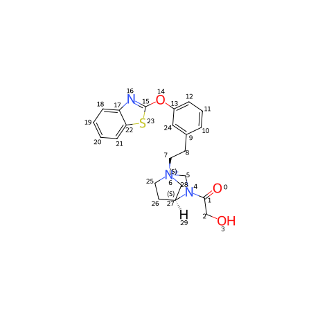 O=C(CO)N1C[N@@+]2(CCc3cccc(Oc4nc5ccccc5s4)c3)CC[C@H]1C2